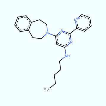 CCCCCNc1cc(N2CCc3ccccc3CC2)nc(-c2ccccn2)n1